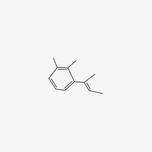 C/C=C(\C)c1cccc(C)c1C